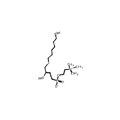 CCCCCCCCCCCCCCCCSCC(CCP(=O)([O-])OCC[N+](C)(C)C)OC